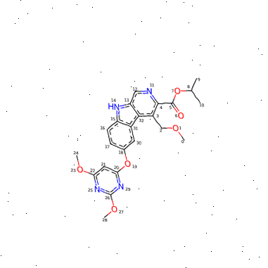 COCc1c(C(=O)OC(C)C)ncc2[nH]c3ccc(Oc4cc(OC)nc(OC)n4)cc3c12